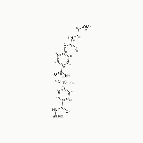 CCCCCCNC(=O)c1ccc(S(=O)(=O)NC(=O)c2ccc(OC(=O)NCCOC)nc2)cc1